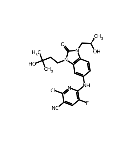 C[C@@H](O)Cn1c(=O)n(CCC(C)(C)O)c2cc(Nc3nc(Cl)c(C#N)cc3F)ccc21